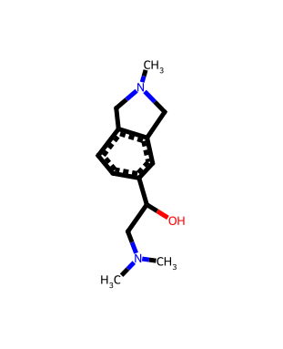 CN(C)CC(O)c1ccc2c(c1)CN(C)C2